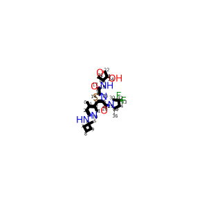 Cc1cc(NC2(C)CCC2)ncc1-c1sc(C(=O)N[C@H]2COC[C@@H]2O)nc1C(=O)N1CC(F)(F)C[C@@H]1C